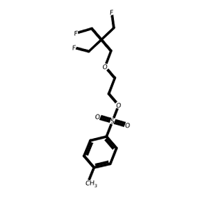 Cc1ccc(S(=O)(=O)OCCOCC(CF)(CF)CF)cc1